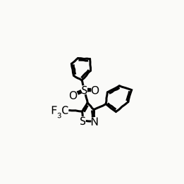 O=S(=O)(c1ccccc1)c1c(-c2ccccc2)nsc1C(F)(F)F